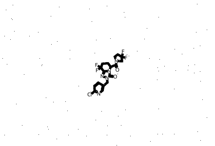 O=C(C1CCC(F)(F)c2nn(Cc3ccc(Cl)nc3)c(=O)n21)N1CCC(F)(F)C1